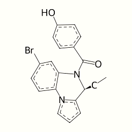 CC[C@H]1c2cccn2-c2ccc(Br)cc2N1C(=O)c1ccc(O)cc1